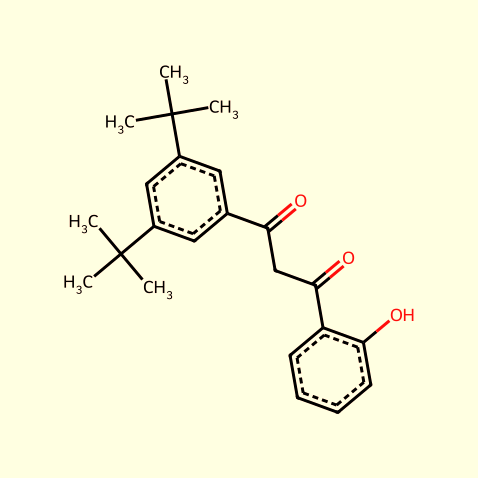 CC(C)(C)c1cc(C(=O)CC(=O)c2ccccc2O)cc(C(C)(C)C)c1